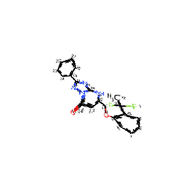 CC(F)(F)c1ccccc1OCc1cc(=O)n2nc(-c3ccccc3)nc2[nH]1